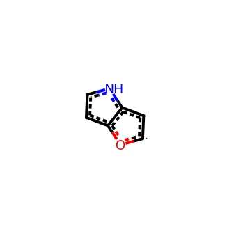 [c]1cc2[nH]ccc2o1